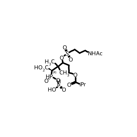 CC(=O)NCCCS(=O)(=O)OC(CCOC(=O)C(C)C)C(C)(C)[C@H](C(=O)O)[PH](=O)O[PH](=O)O